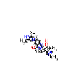 CNC(=O)c1nc(-c2cc3cn(C)nc3c(C)c2O)nc2ccc(N3C[C@@H](C)N[C@@H](C)C3)cc12